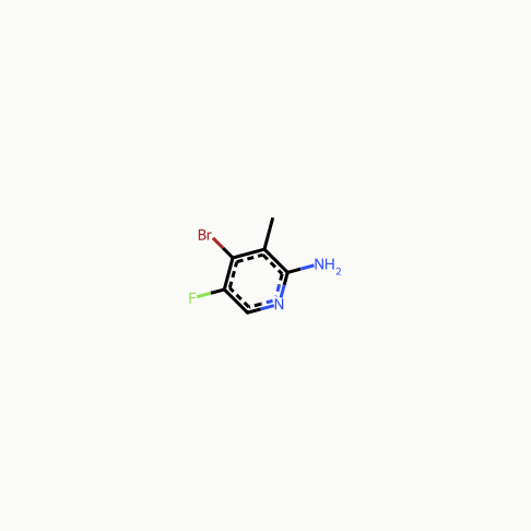 Cc1c(N)ncc(F)c1Br